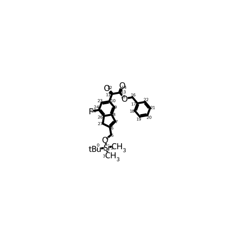 CC(C)(C)[Si](C)(C)OCC1=Cc2cc(C(=O)C(=O)OCc3ccccc3)cc(F)c2C1